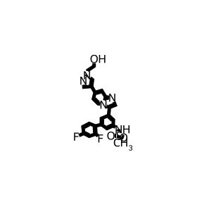 CS(=O)(=O)Nc1cc(-c2ccc(F)cc2F)cc(-c2cnc3cc(-c4cnn(CCO)c4)ccn23)c1